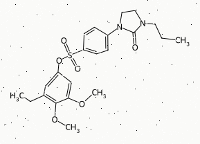 CCCN1CCN(c2ccc(S(=O)(=O)Oc3cc(CC)c(OC)c(OC)c3)cc2)C1=O